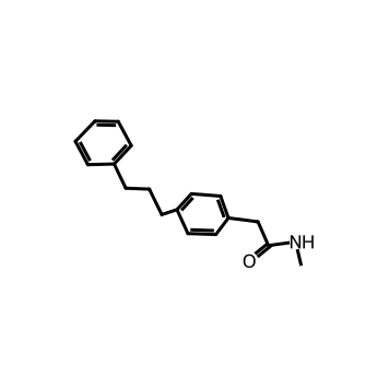 CNC(=O)Cc1ccc(CCCc2ccccc2)cc1